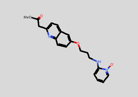 COC(=O)Cc1ccc2cc(OCCCNc3cccc[n+]3[O-])ccc2n1